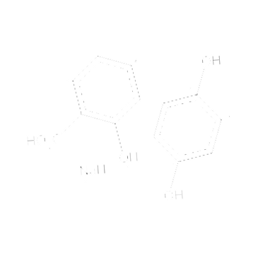 O=C(O)c1ccccc1O.Oc1ccc(O)cc1.[NaH]